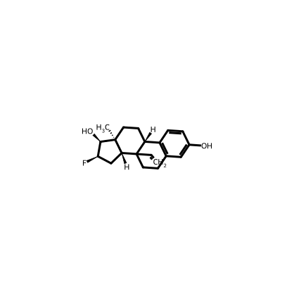 C=CC12CCc3cc(O)ccc3[C@H]1CC[C@]1(C)[C@H](O)[C@H](F)C[C@@H]21